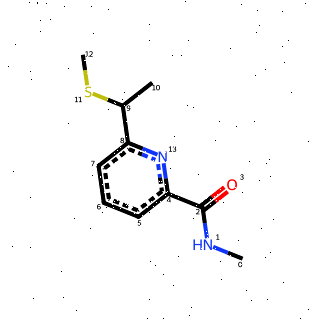 CNC(=O)c1cccc(C(C)SC)n1